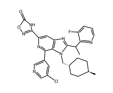 CC(c1ncccc1F)c1nc2cc(-c3noc(=O)[nH]3)nc(-c3cncc(Cl)c3)c2n1C[C@H]1CC[C@H](C)CC1